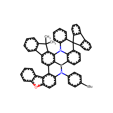 CC(C)(C)c1ccc(N2B3c4cccc5c4N(c4ccccc4C54c5ccccc5-c5ccccc54)c4c3c(cc3c4C(C)(C)c4ccccc4-3)-c3c2ccc2oc4ccccc4c32)cc1